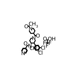 CC(=O)N1CCC(C(=O)N2CCC(N(C)C(=O)c3ccncc3)C(c3ccc(Cl)c(Cl)c3)C2)CC1.O=C(O)C(F)(F)F